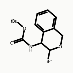 CC(C)C1OCc2ccccc2C1NC(=O)OC(C)(C)C